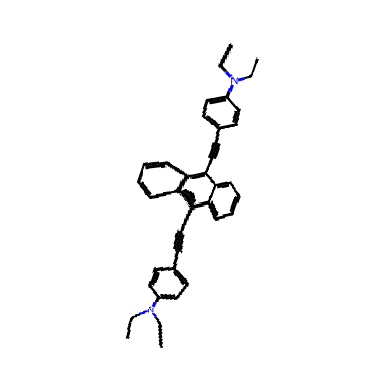 CCN(CC)c1ccc(C#Cc2c3ccccc3c(C#Cc3ccc(N(CC)CC)cc3)c3ccccc23)cc1